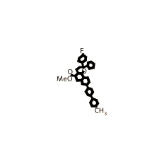 COC(=O)c1cc2cc(-c3ccc(-c4ccc(C)cc4)cc3)ccc2c2c1C=CC(c1ccccc1)(c1ccc(F)cc1)O2